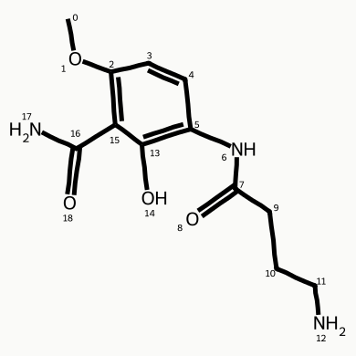 COc1ccc(NC(=O)CCCN)c(O)c1C(N)=O